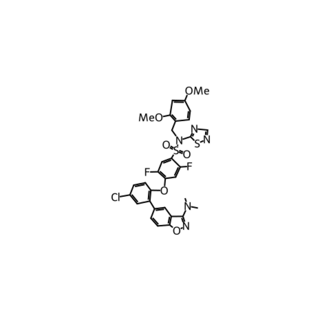 COc1ccc(CN(c2ncns2)S(=O)(=O)c2cc(F)c(Oc3ccc(Cl)cc3-c3ccc4onc(N(C)C)c4c3)cc2F)c(OC)c1